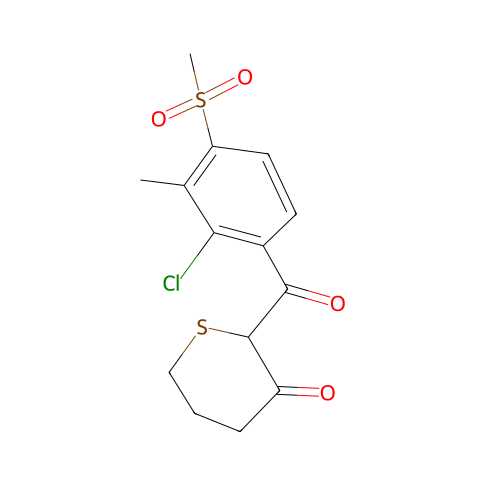 Cc1c(S(C)(=O)=O)ccc(C(=O)C2SCCCC2=O)c1Cl